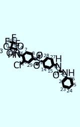 C[C@@](O)(C(=O)Nc1ccc(S(=O)(=O)c2ccc(NC(=O)Nc3ccccc3)cc2)cc1Cl)C(F)(F)F